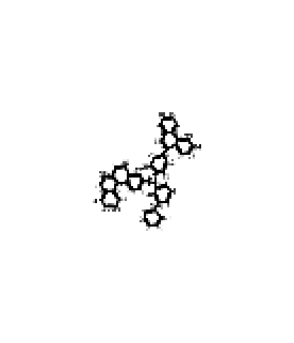 c1ccc(-c2cccc(N(c3ccc(-c4cc5ccccc5c5ccccc45)cc3)c3ccc4c(ccc5ccc6ccccc6c54)c3)c2)cc1